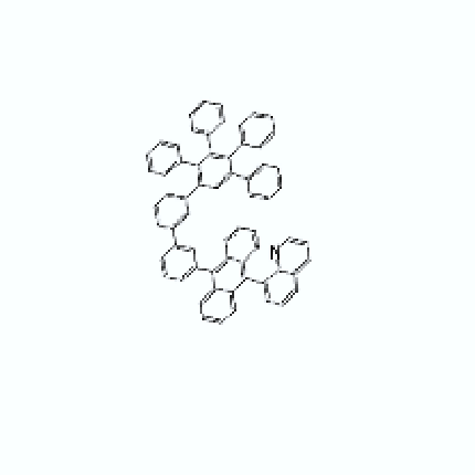 c1ccc(-c2cc(-c3cccc(-c4cccc(-c5c6ccccc6c(-c6cccc7cccnc67)c6ccccc56)c4)c3)c(-c3ccccc3)c(-c3ccccc3)c2-c2ccccc2)cc1